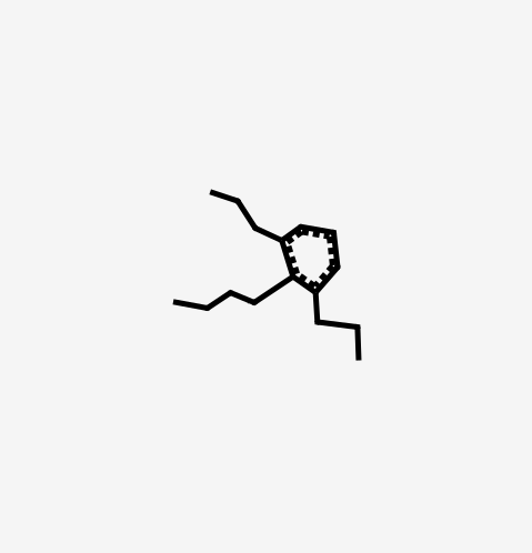 CCC[CH]c1c(CCC)cccc1CCC